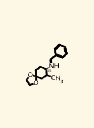 CC1CC2(CC[C@@H]1NCc1ccccc1)OCCO2